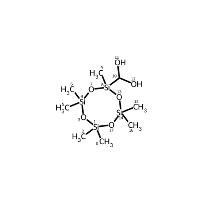 C[Si]1(C)O[Si](C)(C)O[Si](C)(C(O)O)O[Si](C)(C)O1